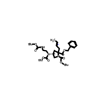 C/C=C/CC1(C(=O)OCc2ccccc2)C[C@@H](N(CCNC(=O)OC(C)(C)C)C(=O)OC(C)(C)C)CN1C(=O)OC(C)(C)C